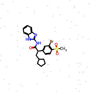 CS(=O)(=O)c1ccc(C(CC2CCCC2)C(=O)Nc2nc3ccccc3[nH]2)cc1Br